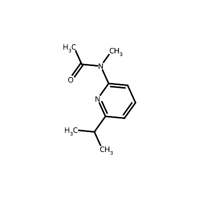 CC(=O)N(C)c1cccc(C(C)C)n1